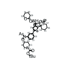 CC(=O)N(OC1CCN(C(=O)OC(C)(C)C)CC1)c1cccc(-c2ccc([C@@]3(CC(=O)NOC4CCCCO4)CCCCS3(=O)=O)s2)c1